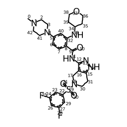 CN1CCN(c2ccc(C(=O)Nc3n[nH]c4c3CN(S(=O)(=O)c3cc(F)cc(F)c3)CC4)c(NC3CCOCC3)c2)CC1